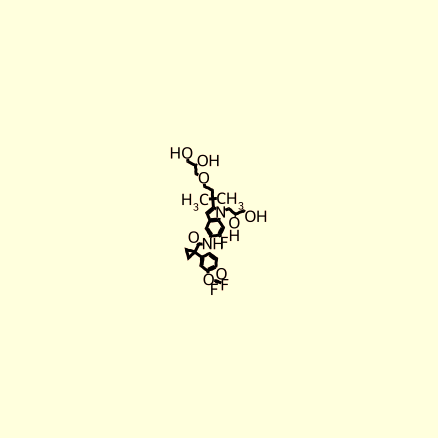 CC(C)(CCOC[C@H](O)CO)c1cc2cc(NC(=O)C3(c4ccc5c(c4)OC(F)(F)O5)CC3)c(F)cc2n1C[C@@H](O)CO